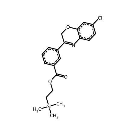 C[Si](C)(C)CCOC(=O)c1cccc(C2=Nc3ccc(Cl)cc3OC2)c1